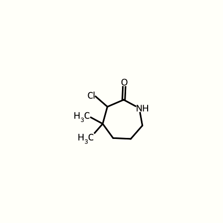 CC1(C)CCCNC(=O)C1Cl